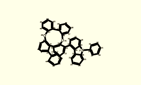 c1ccc(-c2cccc3c2-c2cccc(-c4cccc5c4c4ccccc4n5-c4ccccc4)c2Oc2ccccc2-c2ccccc2O3)cc1